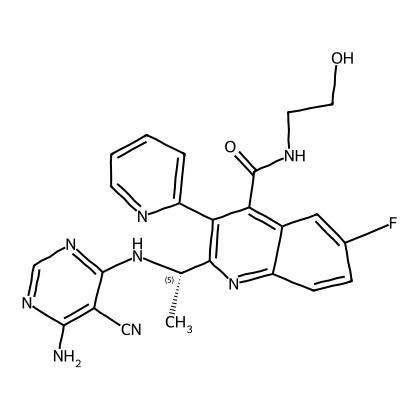 C[C@H](Nc1ncnc(N)c1C#N)c1nc2ccc(F)cc2c(C(=O)NCCO)c1-c1ccccn1